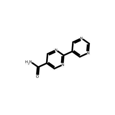 NC(=O)c1cnc(-c2cncnc2)nc1